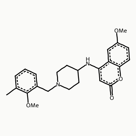 COc1ccc2oc(=O)cc(NC3CCN(Cc4cccc(C)c4OC)CC3)c2c1